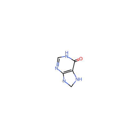 O=c1[nH]cnc2c1NC[N]2